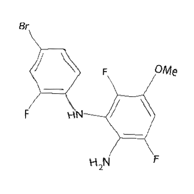 COc1cc(F)c(N)c(Nc2ccc(Br)cc2F)c1F